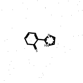 S=C1CC=C[C]=C1c1ncc[nH]1